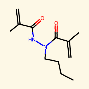 C=C(C)C(=O)NN(CCCC)C(=O)C(=C)C